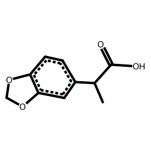 CC(C(=O)O)c1ccc2c(c1)OCO2